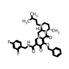 CC(C)CCN1CC[C@H](C)N2C(=O)c3c(OCc4ccccc4)c(=O)c(C(=O)NCc4ccc(F)cc4F)cn3C[C@@H]12